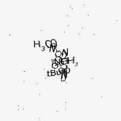 Cc1nc(-c2cc(C3(NC(=O)c4cc(N5CC6CCC(C5)N6C(=O)OC(C)(C)C)ccc4C)CC3)c3cccnc3c2)co1